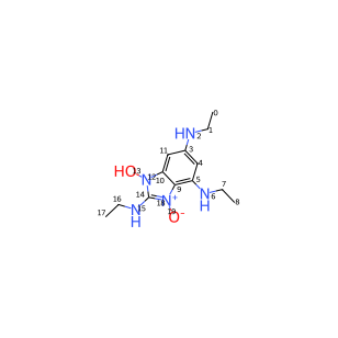 CCNc1cc(NCC)c2c(c1)n(O)c(NCC)[n+]2[O-]